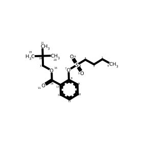 CCCCS(=O)(=O)Oc1ccccc1C(=O)OCC(C)(C)C